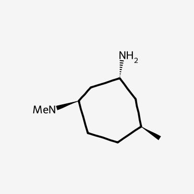 CN[C@@H]1CC[C@H](C)C[C@@H](N)C1